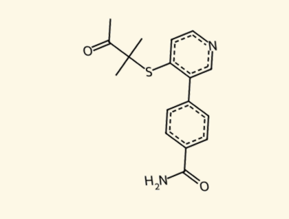 CC(=O)C(C)(C)Sc1ccncc1-c1ccc(C(N)=O)cc1